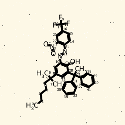 CCCCCC(C)(C)c1cc(N=Nc2ccc(C(F)(F)F)cc2[N+](=O)[O-])c(O)c(C(C)(c2ccccc2)c2ccccc2)c1